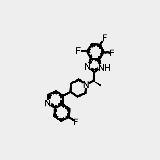 C[C@H](c1nc2c(F)cc(F)c(F)c2[nH]1)N1CCC(c2ccnc3ccc(F)cc23)CC1